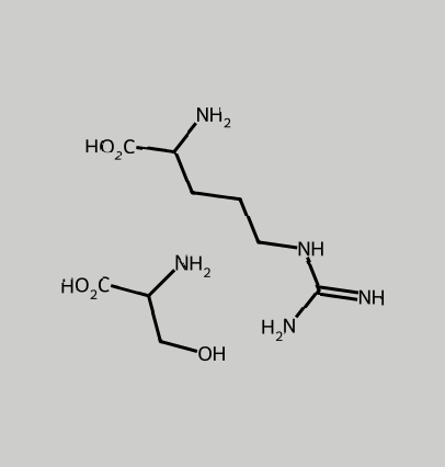 N=C(N)NCCCC(N)C(=O)O.NC(CO)C(=O)O